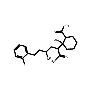 NC(=O)C1CCCCC1(O)C(CC(O)[CH]Cc1ccccc1F)C(N)=O